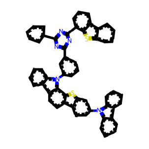 c1ccc(-c2nc(-c3cccc(-n4c5ccccc5c5ccc6c7ccc(-n8c9ccccc9c9ccccc98)cc7sc6c54)c3)nc(-c3cccc4c3sc3ccccc34)n2)cc1